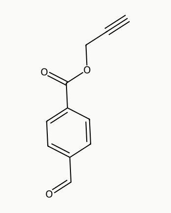 C#CCOC(=O)c1ccc(C=O)cc1